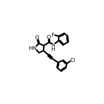 O=C1NCC(C#Cc2cccc(Cl)c2)C1C(=O)Nc1ccccc1F